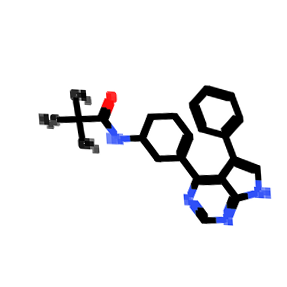 CC(C)(C)C(=O)NC1CCC=C(c2ncnc3[nH]cc(-c4ccccc4)c23)C1